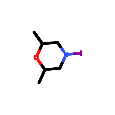 CC1CN(I)CC(C)O1